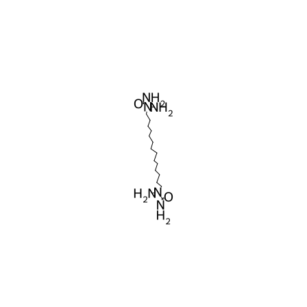 NC(=O)N(N)CCCCCCCCCCCCCCN(N)C(N)=O